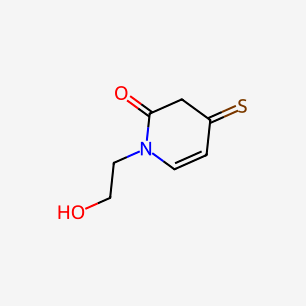 O=C1CC(=S)C=CN1CCO